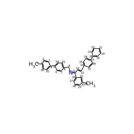 Cc1ccc(-c2ccc(C/N=C(\C=C\c3ccc(-c4ccccc4)cc3)c3cccc(C)c3)cc2)cc1